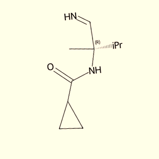 CC(C)[C@](C)(C=N)NC(=O)C1CC1